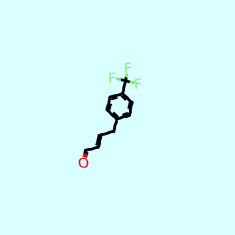 O=CC=CCc1ccc(C(F)(F)F)cc1